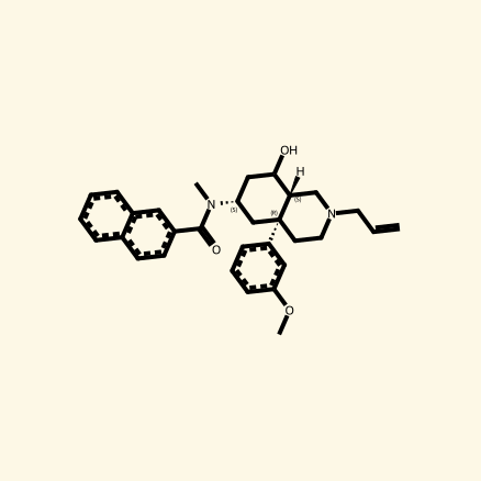 C=CCN1CC[C@@]2(c3cccc(OC)c3)C[C@H](N(C)C(=O)c3ccc4ccccc4c3)CC(O)[C@@H]2C1